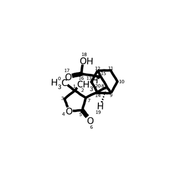 CC1(C)COC(=O)C1[C@@H]1C2CCC(CC2)[C@@H]1C(=O)O